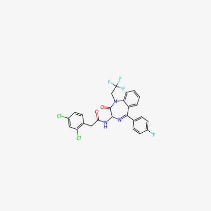 O=C(Cc1ccc(Cl)cc1Cl)NC1N=C(c2ccc(F)cc2)c2ccccc2N(CC(F)(F)F)C1=O